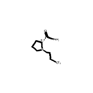 NC(=O)[C@H]1[CH]CCN1CCC(F)(F)F